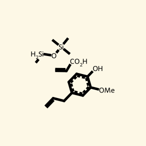 C=CC(=O)O.C=CCc1ccc(O)c(OC)c1.C[SiH2]O[Si](C)(C)C